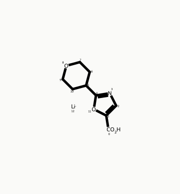 O=C(O)c1cnc(C2CCOCC2)o1.[Li]